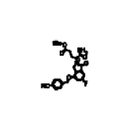 CC(C)(C)OC(=O)CC[C@@H](C(N)=O)N1Cc2c(OCc3ccc(C#N)cc3)cc(F)cc2C1=O